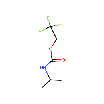 CC(C)NC(=O)OCC(F)(F)F